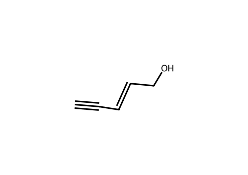 C#CC=CCO